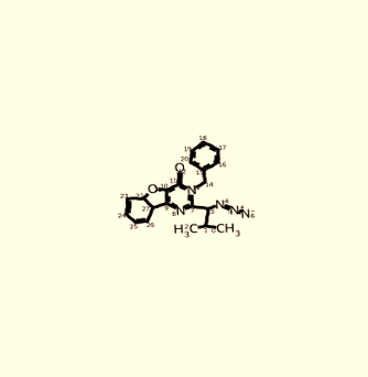 CC(C)C(N=[N+]=[N-])c1nc2c(c(=O)n1Cc1ccccc1)OC1C=CC=CC21